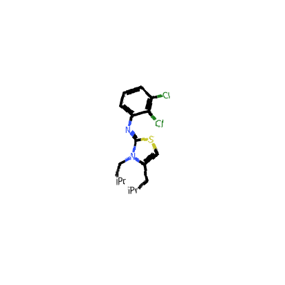 CC(C)Cc1csc(=Nc2cccc(Cl)c2Cl)n1CC(C)C